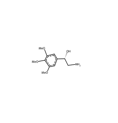 COc1cc([C@H](O)CN)cc(OC)c1OC